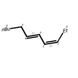 CC/[C]=C\C=C\CCCCC